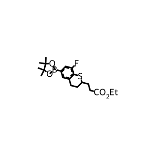 CCOC(=O)CCC1CCc2cc(B3OC(C)(C)C(C)(C)O3)cc(F)c2S1